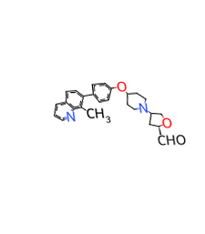 Cc1c(-c2ccc(OC3CCN(C4CO[C@@H](C=O)C4)CC3)cc2)ccc2cccnc12